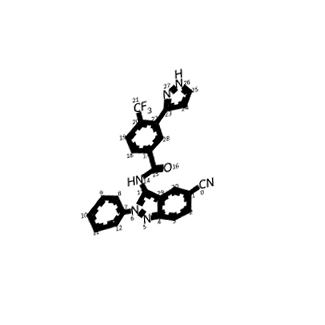 N#Cc1ccc2nn(-c3ccccc3)c(NC(=O)c3ccc(C(F)(F)F)c(-c4cc[nH]n4)c3)c2c1